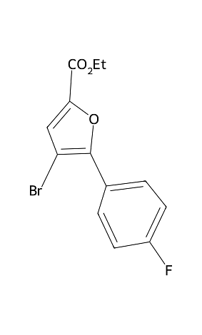 CCOC(=O)c1cc(Br)c(-c2ccc(F)cc2)o1